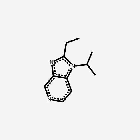 CCc1nc2cnccc2n1C(C)C